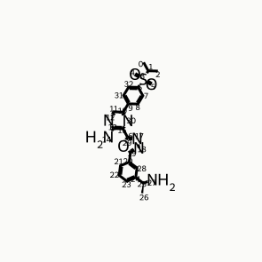 CC(C)S(=O)(=O)c1ccc(-c2cnc(N)c(-c3nnc(-c4cccc([C@H](C)N)c4)o3)n2)cc1